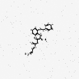 C=CCOC(=O)CC(=O)C(C)Oc1ccccc1OCc1ccccc1